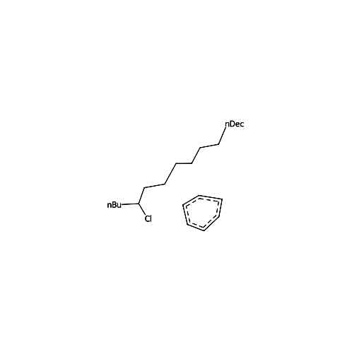 CCCCCCCCCCCCCCCCC(Cl)CCCC.c1ccccc1